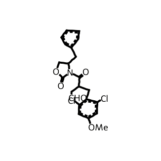 COc1cc(Cl)c(CC(CC=O)C(=O)N2C(=O)OCC2Cc2ccccc2)c(Cl)c1